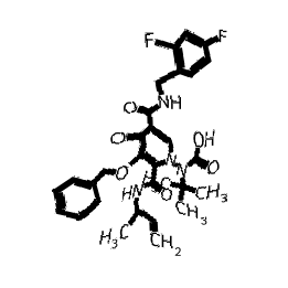 C=CC(C)NC(=O)c1c(OCc2ccccc2)c(=O)c(C(=O)NCc2ccc(F)cc2F)cn1N(C(=O)O)C(C)(C)C